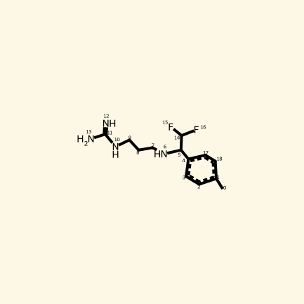 Cc1ccc(C(NCCCNC(=N)N)C(F)F)cc1